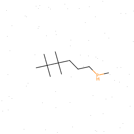 CPCCCC(C)(C)C(C)(C)C